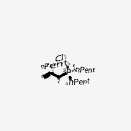 C=CC[P+](CCCCC)(CCCCC)CCCCC.[Cl-]